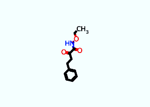 CCONC(=O)C(=O)CCc1ccccc1